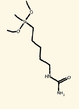 CO[Si](C)(CCCCCNC(N)=O)OC